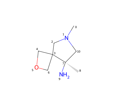 CN1CC2(COC2)[C@](C)(N)C1